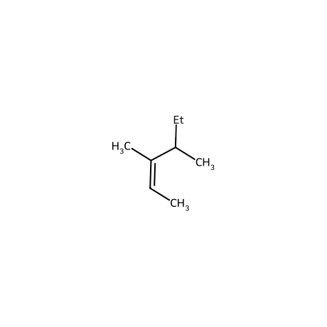 C/C=C(/C)C(C)CC